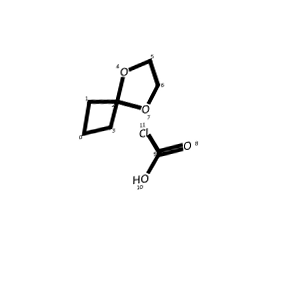 C1CC2(C1)OCCO2.O=C(O)Cl